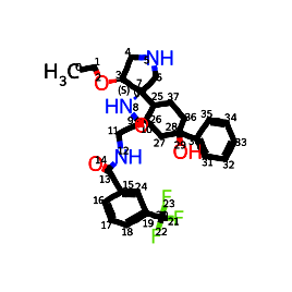 CCO[C@H]1CNC[C@@]1(NC(=O)CNC(=O)c1cccc(C(F)(F)F)c1)C1CCC(O)(c2ccccc2)CC1